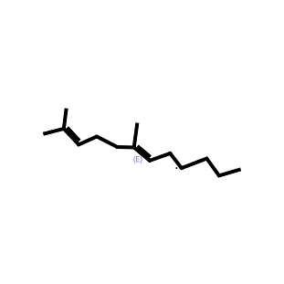 CCC[CH]C/C=C(\C)CCC=C(C)C